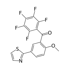 COc1ccc(-c2nccs2)cc1C(=O)c1c(F)c(F)c(F)c(F)c1F